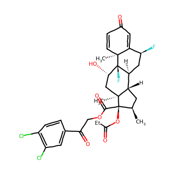 CCC(=O)O[C@]1(C(=O)OCC(=O)c2ccc(Cl)c(Cl)c2)[C@H](C)C[C@H]2[C@@H]3C[C@H](F)C4=CC(=O)C=C[C@]4(C)[C@@]3(F)[C@@H](O)C[C@@]21C